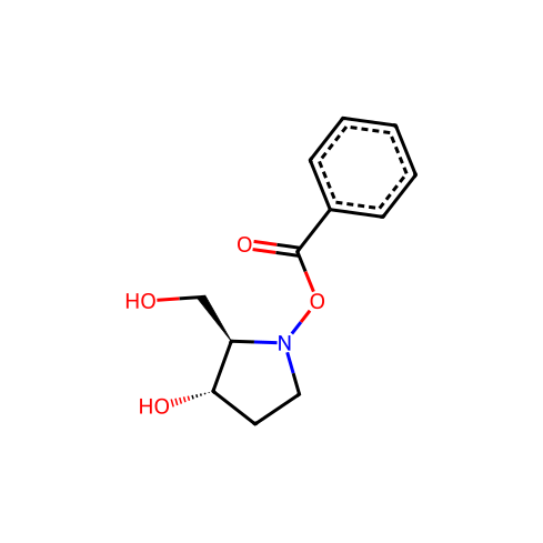 O=C(ON1CC[C@H](O)[C@H]1CO)c1ccccc1